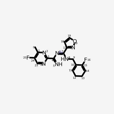 Cc1nc(C(=N)/N=C(\NCC2=CCCC=C2F)c2ccon2)ncc1F